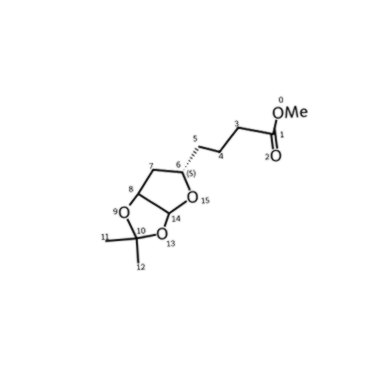 COC(=O)CCC[C@H]1CC2OC(C)(C)OC2O1